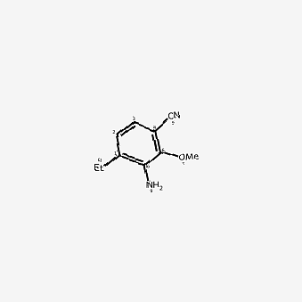 CCc1ccc(C#N)c(OC)c1N